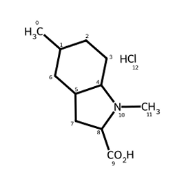 CC1CCC2C(C1)CC(C(=O)O)N2C.Cl